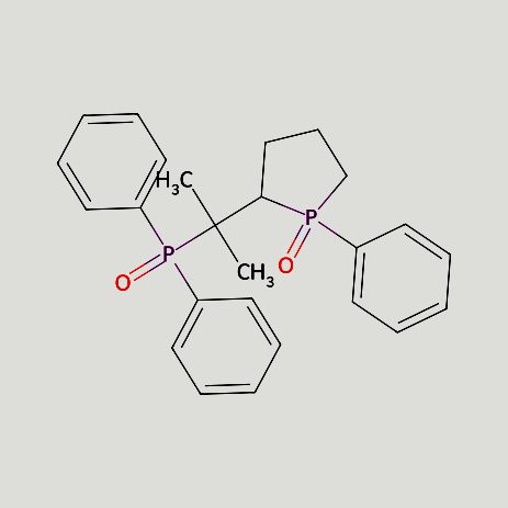 CC(C)(C1CCCP1(=O)c1ccccc1)P(=O)(c1ccccc1)c1ccccc1